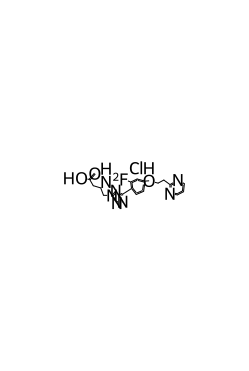 Cl.NC(CC(=O)O)Cn1nnc(-c2ccc(OCCc3ncccn3)cc2F)n1